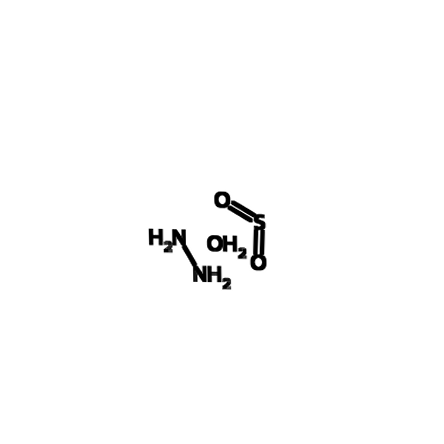 NN.O.O=S=O